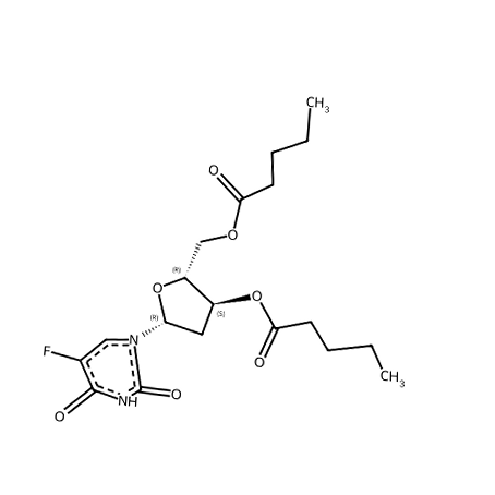 CCCCC(=O)OC[C@H]1O[C@@H](n2cc(F)c(=O)[nH]c2=O)C[C@@H]1OC(=O)CCCC